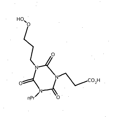 CCCn1c(=O)n(CCCOO)c(=O)n(CCC(=O)O)c1=O